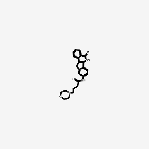 O=C(CCCN1CCOCC1)Nc1ccc2c(c1)Cc1c-2[nH]c(=O)c2ccccc12